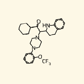 O=C(C1CCCCC1)C(C1CCc2ccccc2N1)N1CCN(c2ccccc2OC(F)(F)F)CC1